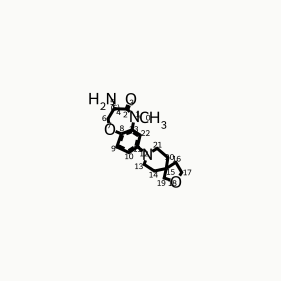 CN1C(=O)[C@@H](N)COc2ccc(N3CCC4(CCOC4)CC3)cc21